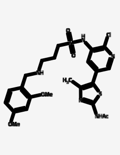 COc1ccc(CNCCCS(=O)(=O)Nc2cc(-c3sc(NC(C)=O)nc3C)cnc2Cl)c(OC)c1